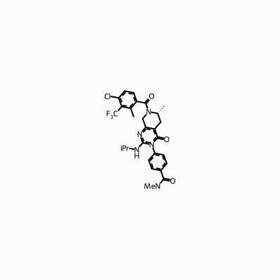 CNC(=O)c1ccc(-n2c(NC(C)C)nc3c(c2=O)C[C@@H](C)N(C(=O)c2ccc(Cl)c(C(F)(F)F)c2C)C3)cc1